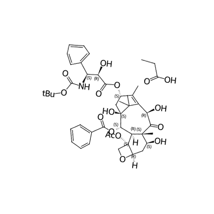 CC(=O)O[C@@]12CO[C@@H]1C[C@H](O)[C@@]1(C)C(=O)[C@H](O)C3=C(C)[C@@H](OC(=O)[C@H](O)[C@@H](NC(=O)OC(C)(C)C)c4ccccc4)C[C@@](O)([C@@H](OC(=O)c4ccccc4)[C@H]21)C3(C)C.CCC(=O)O